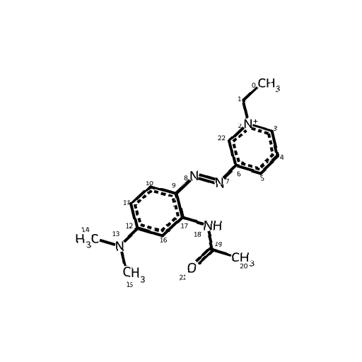 CC[n+]1cccc(N=Nc2ccc(N(C)C)cc2NC(C)=O)c1